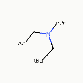 CCCN(CC(C)=O)CC(C)(C)C